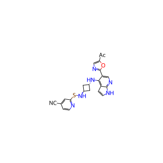 CC(=O)c1cnc(-c2cnc3[nH]ccc3c2N[C@H]2C[C@H](NSc3cc(C#N)ccn3)C2)o1